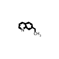 CCc1ccc2c[c]cnc2c1